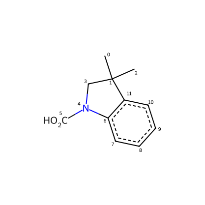 CC1(C)CN(C(=O)O)c2ccccc21